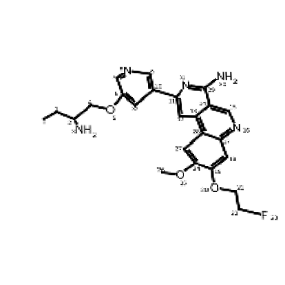 CC[C@H](N)COc1cncc(-c2cc3c(cnc4cc(OCCF)c(OC)cc43)c(N)n2)c1